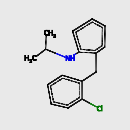 CC(C)Nc1ccccc1Cc1ccccc1Cl